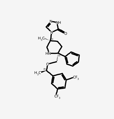 C[C@@H](OC[C@@]1(c2ccccc2)CC[C@](C)(n2cn[nH]c2=O)CN1)c1cc(C(F)(F)F)cc(C(F)(F)F)c1